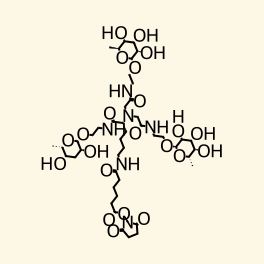 C[C@@H]1O[C@@H](OCCNC(=O)CN(CC(=O)NCCO[C@@H]2O[C@@H](C)[C@@H](O)[C@@H](O)[C@@H]2O)[C@@H](CCCCNC(=O)CCCCC(=O)ON2C(=O)CCC2=O)C(=O)NCCO[C@@H]2O[C@@H](C)[C@@H](O)C[C@@H]2O)[C@@H](O)[C@H](O)[C@@H]1O